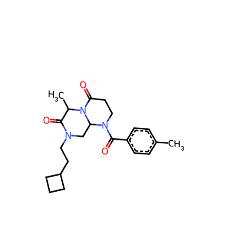 Cc1ccc(C(=O)N2CCC(=O)N3C(C)C(=O)N(CCC4CCC4)CC23)cc1